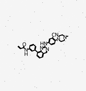 C=CC(=O)Nc1cccc(-c2cccc3cnc(Nc4ccc(N5CCN(C)CC5)c(C#N)c4)nc23)c1